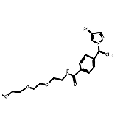 CCOCCOCCOCCNC(=O)c1ccc(C(C)n2cc(C(C)C)cn2)cc1